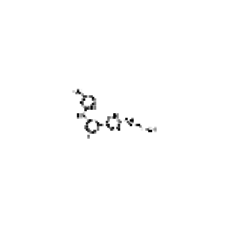 Cc1cc(Nc2nccc(C(F)(F)F)n2)cc(-c2cnc(NCCCO)nc2)c1